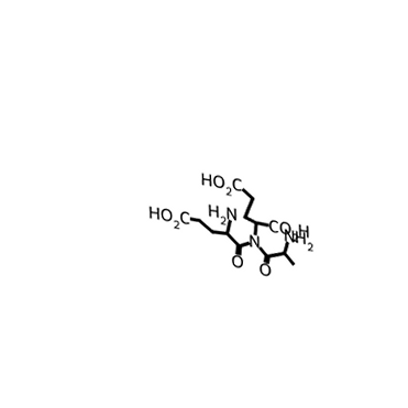 CC(N)C(=O)N(C(=O)C(N)CCC(=O)O)C(CCC(=O)O)C(=O)O